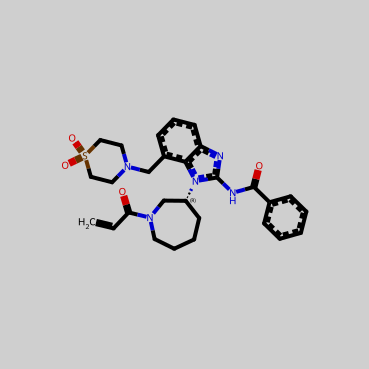 C=CC(=O)N1CCCC[C@@H](n2c(NC(=O)c3ccccc3)nc3cccc(CN4CCS(=O)(=O)CC4)c32)C1